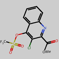 COC(=O)c1nc2ccccc2c(OS(=O)(=O)C(F)(F)F)c1Cl